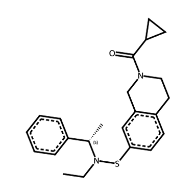 CCN(Sc1ccc2c(c1)CN(C(=O)C1CC1)CC2)[C@@H](C)c1ccccc1